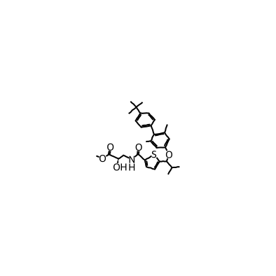 COC(=O)[C@H](O)CNC(=O)c1ccc(C(Oc2cc(C)c(-c3ccc(C(C)(C)C)cc3)c(C)c2)C(C)C)s1